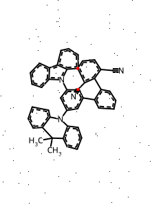 CC1(C)c2ccccc2N(c2cc(-c3ccccc3-c3c(C#N)cccc3C#N)cc(-n3c4ccccc4c4ccccc43)c2)c2ccccc21